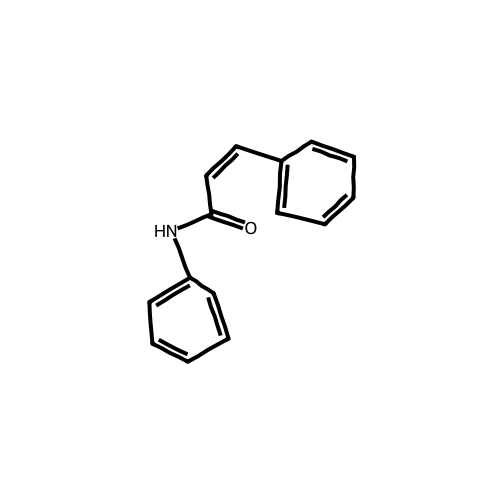 O=C(/C=C\c1ccccc1)Nc1ccccc1